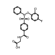 O=C(O)CNC(=O)c1ccc(S(=O)(=O)N(Oc2ccc(F)cc2Cl)c2ccccc2)cc1